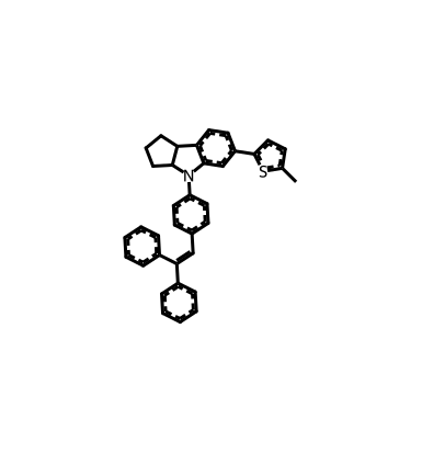 Cc1ccc(-c2ccc3c(c2)N(c2ccc(C=C(c4ccccc4)c4ccccc4)cc2)C2CCCC32)s1